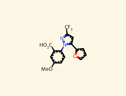 COc1ccc(-n2nc(C(F)(F)F)cc2-c2ccco2)c(C(=O)O)c1